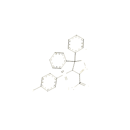 NC(=O)C1=NOC(c2ccccc2)(c2ccccc2)C1S(=O)(=O)c1ccc(Cl)cc1